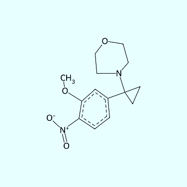 COc1cc(C2(N3CCOCC3)CC2)ccc1[N+](=O)[O-]